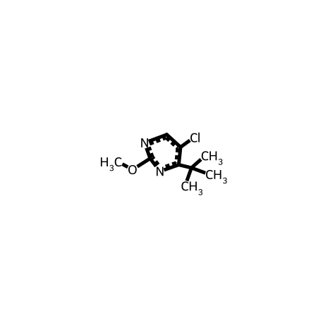 COc1ncc(Cl)c(C(C)(C)C)n1